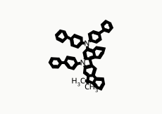 CC1(C)c2ccccc2-c2cc3c4c5ccccc5c(N(c5ccc(-c6ccccc6)cc5)c5ccc(-c6ccccc6)cc5)cc4n(-c4ccc(-c5ccccc5)cc4)c3cc21